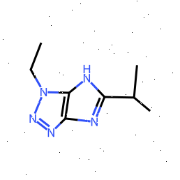 CCn1nnc2nc(C(C)C)[nH]c21